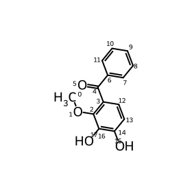 COc1c(C(=O)c2ccccc2)ccc(O)c1O